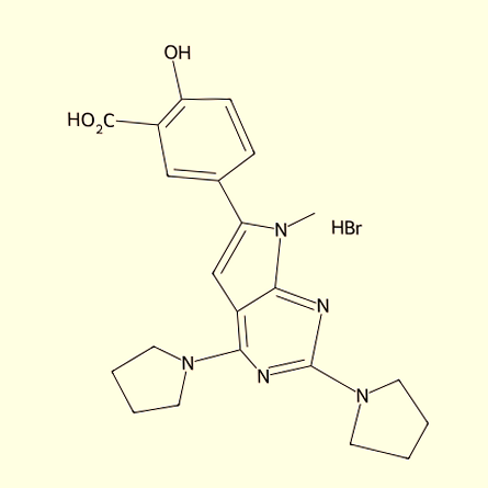 Br.Cn1c(-c2ccc(O)c(C(=O)O)c2)cc2c(N3CCCC3)nc(N3CCCC3)nc21